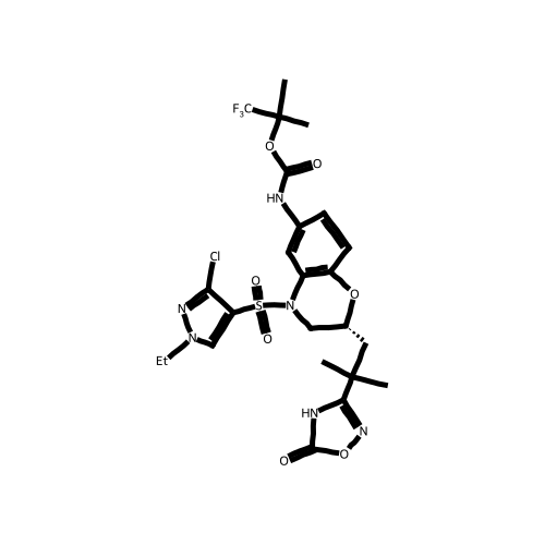 CCn1cc(S(=O)(=O)N2C[C@@H](CC(C)(C)c3noc(=O)[nH]3)Oc3ccc(NC(=O)OC(C)(C)C(F)(F)F)cc32)c(Cl)n1